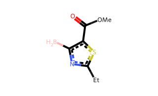 Bc1nc(CC)sc1C(=O)OC